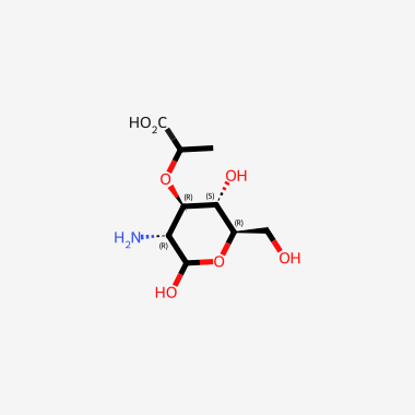 CC(O[C@H]1[C@H](O)[C@@H](CO)OC(O)[C@@H]1N)C(=O)O